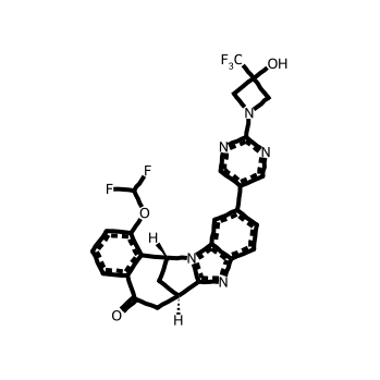 O=C1C[C@H]2C[C@H](c3c(OC(F)F)cccc31)n1c2nc2ccc(-c3cnc(N4CC(O)(C(F)(F)F)C4)nc3)cc21